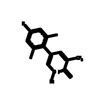 C=C(F)/C(=C\C(=C/OCC)c1c(C)cc(F)cc1C)C(F)(F)F